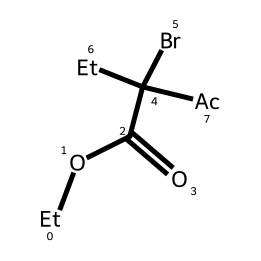 CCOC(=O)C(Br)(CC)C(C)=O